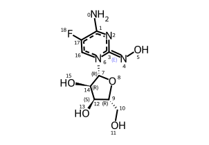 Nc1n/c(=N\O)n([C@@H]2O[C@H](CO)[C@@H](O)[C@H]2O)cc1F